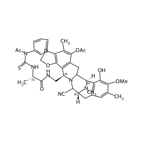 COc1c(C)cc2c(c1O)[C@@H]1C3Cc4c(OC(C)=O)c(C)c5c(c4[C@H](CNC(=O)[C@H](C)NC(=S)N(C(C)=O)c4ccccc4)N3C(C#N)[C@@H](C2)N1C)OCO5